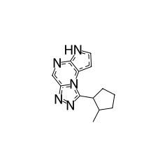 CC1CCCC1c1nnc2cnc3[nH]ccc3n12